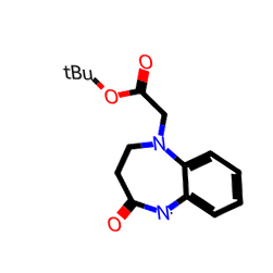 CC(C)(C)OC(=O)CN1CCC(=O)[N]c2ccccc21